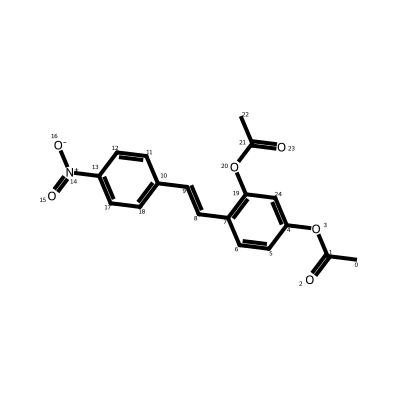 CC(=O)Oc1ccc(C=Cc2ccc([N+](=O)[O-])cc2)c(OC(C)=O)c1